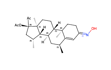 CC(=O)O[C@]1(C(C)=O)C[C@@H](C)[C@H]2[C@@H]3C[C@H](C)C4=C/C(=N/O)CC[C@]4(C)[C@H]3CC[C@@]21C